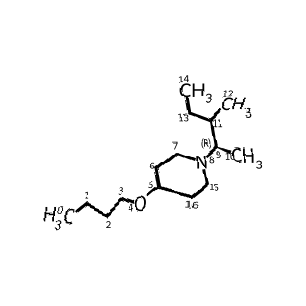 CCCCOC1CCN([C@H](C)C(C)CC)CC1